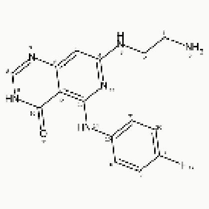 NCCNc1cc2nc[nH]c(=O)c2c(Nc2ccc(F)cc2)n1